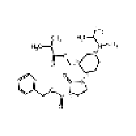 CC(C)C(=O)OC[C@@H]1C[C@H](N(C)C(C)C)CC[C@@H]1N1CC[C@H](C(=O)OCc2ccccc2)C1=O